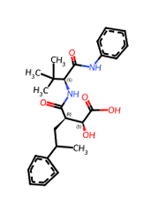 CC(C[C@@H](C(=O)N[C@H](C(=O)Nc1ccccc1)C(C)(C)C)[C@H](O)C(=O)O)c1ccccc1